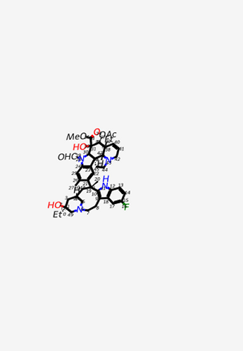 CC[C@]1(O)C[C@@H]2CN(CCc3c([nH]c4ccc(F)cc34)[C@@](C)(c3cc4c(cc3C)N(C=O)C3C(O)(C(=O)OC)[C@H](OC(C)=O)[C@]5(CC)C=CCN6CC[C@]43[C@@H]65)C2)C1